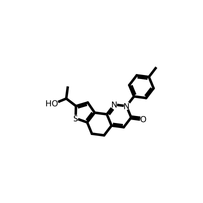 Cc1ccc(-n2nc3c(cc2=O)CCc2sc(C(C)O)cc2-3)cc1